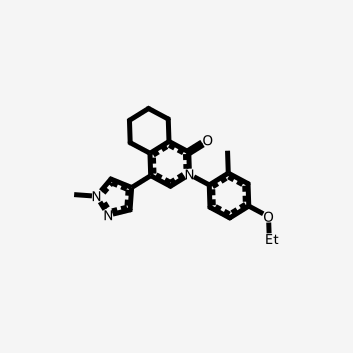 CCOc1ccc(-n2cc(-c3cnn(C)c3)c3c(c2=O)CCCC3)c(C)c1